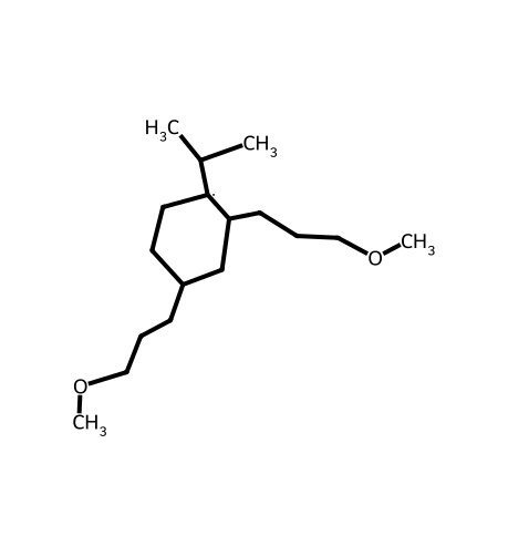 COCCCC1CC[C](C(C)C)C(CCCOC)C1